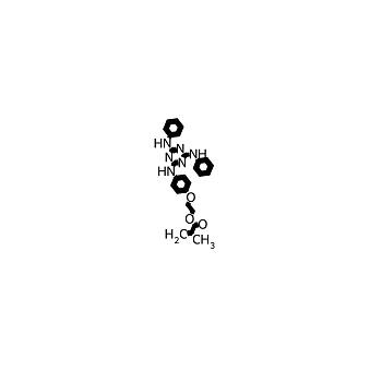 C=C(C)C(=O)OCCOc1ccc(Nc2nc(Nc3ccccc3)nc(Nc3ccccc3)n2)cc1